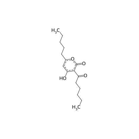 CCCCCC(=O)c1c(O)cc(CCCCC)oc1=O